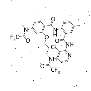 Cc1ccc(NC(=O)c2ccc(N(C)C(=O)C(F)(F)F)cc2OCCCNC(=O)C(F)(F)F)c(C(=O)Nc2ncccc2Cl)c1